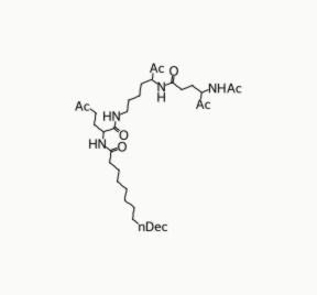 CCCCCCCCCCCCCCCCCC(=O)NC(CCC(C)=O)C(=O)NCCCCC(NC(=O)CCC(NC(C)=O)C(C)=O)C(C)=O